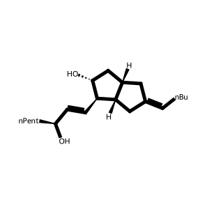 CCCC/C=C1\C[C@H]2C[C@@H](O)[C@H](/C=C/[C@@H](O)CCCCC)[C@H]2C1